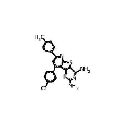 Cc1ccc(-c2cc(-c3ccc(Cl)cc3)c3c(n2)sc2c(N)nc(N)nc23)cc1